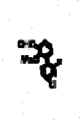 COc1c(C=O)cccc1-c1ccc(Cl)nc1F